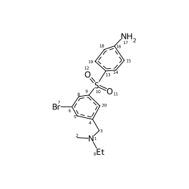 CCN(C)Cc1cc(Br)cc(S(=O)(=O)c2ccc(N)cc2)c1